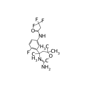 CC1(C)CC(C)(c2cc(NC(=O)CC(F)(F)F)ccc2F)N=C(N)CO1